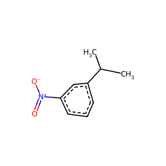 C[C](C)c1cccc([N+](=O)[O-])c1